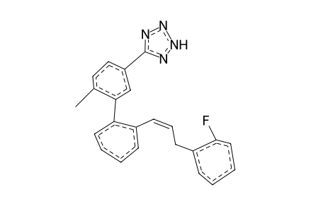 Cc1ccc(-c2nn[nH]n2)cc1-c1ccccc1/C=C\Cc1ccccc1F